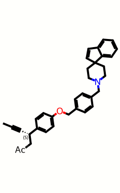 CC#C[C@@H](CC(C)=O)c1ccc(OCc2ccc(CN3CCC4(C=Cc5ccccc54)CC3)cc2)cc1